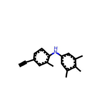 C#Cc1ccc(Nc2cc(C)c(C)c(C)c2)c(C)c1